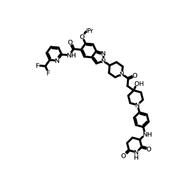 CC(C)Oc1cc2nn(C3CCN(C(=O)CC4(O)CCN(c5ccc(NC6CCC(=O)NC6=O)cc5)CC4)CC3)cc2cc1C(=O)Nc1cccc(C(F)F)n1